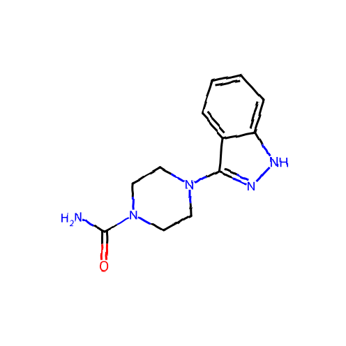 NC(=O)N1CCN(c2n[nH]c3ccccc23)CC1